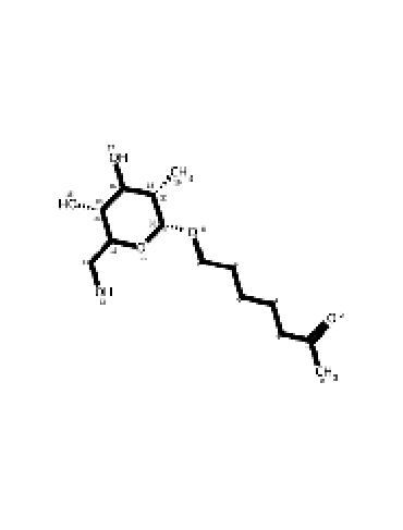 CC(=O)CCCCCO[C@@H]1OC(CO)[C@H](O)C(O)[C@@H]1C